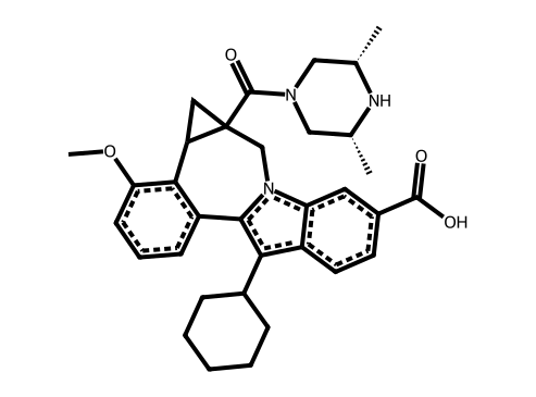 COc1cccc2c1C1CC1(C(=O)N1C[C@@H](C)N[C@@H](C)C1)Cn1c-2c(C2CCCCC2)c2ccc(C(=O)O)cc21